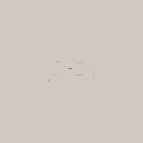 C[C@H]1COC[C@@H](c2ccc3scnc3c2)N1